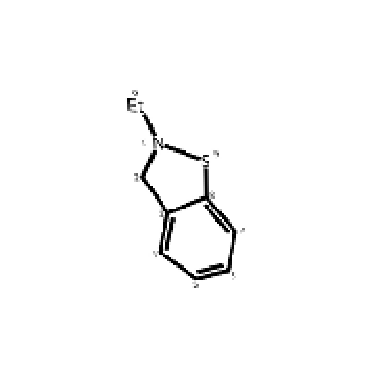 CCN1Cc2ccccc2S1